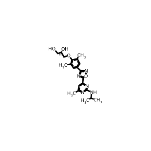 Cc1cc(-c2nc(-c3cc(C)c(OC[C@H](O)CO)c(C)c3)no2)nc(NC(C)C)n1